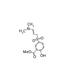 COC(=O)c1cc(S(=O)(=O)CC=CN(C)C)ccc1O